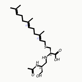 CC(=O)N[C@H](CO)CN[C@@H](CSC/C=C(\C)CC/C=C(\C)CCC=C(C)C)C(=O)O